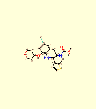 COC(=O)N1Cc2sccc2C(Nc2ccc(F)cc2OC2CCOCC2)=C1C